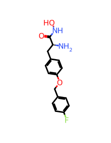 N[C@@H](Cc1ccc(OCc2ccc(F)cc2)cc1)C(=O)NO